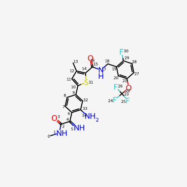 CNC(=O)C(=N)c1ccc(-c2cc(C)c(C(=O)NCc3cc(OC(F)(F)F)ccc3F)s2)cc1N